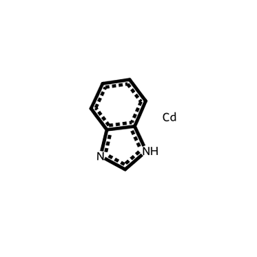 [Cd].c1ccc2[nH]cnc2c1